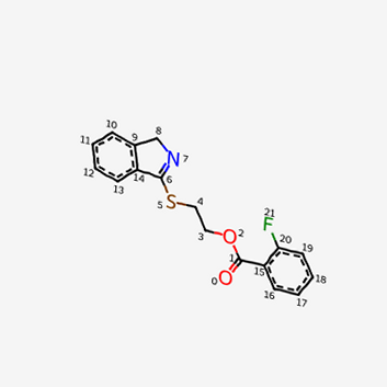 O=C(OCCSC1=NCc2ccccc21)c1ccccc1F